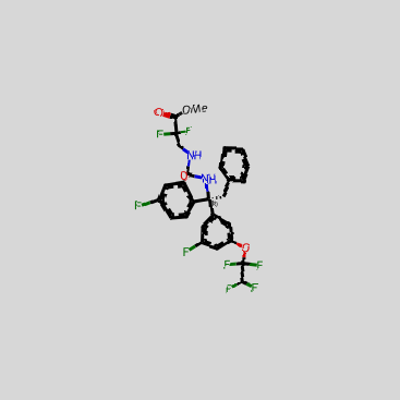 COC(=O)C(F)(F)CNC(=O)N[C@](Cc1ccccc1)(c1ccc(F)cc1)c1cc(F)cc(OC(F)(F)C(F)F)c1